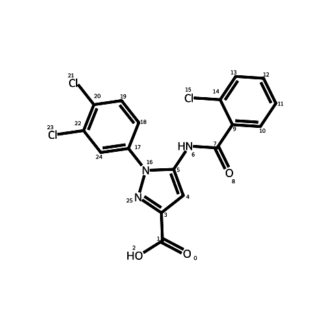 O=C(O)c1cc(NC(=O)c2ccccc2Cl)n(-c2ccc(Cl)c(Cl)c2)n1